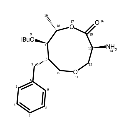 CC(C)CO[C@@H]1[C@@H](Cc2ccccc2)COC[C@H](N)C(=O)O[C@H]1C